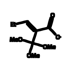 CCC=C(C([O])=O)C(OC)(OC)OC